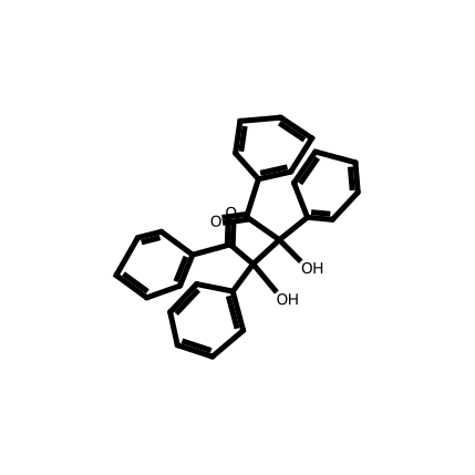 O=C(c1ccccc1)C(O)(c1ccccc1)C(O)(C(=O)c1ccccc1)c1ccccc1